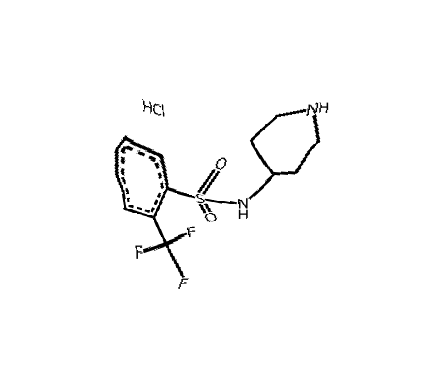 Cl.O=S(=O)(NC1CCNCC1)c1ccccc1C(F)(F)F